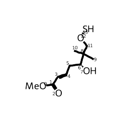 COC(=O)/C=C/C[C@@H](O)C(C)(C)COS